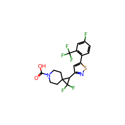 O=C(O)N1CCC2(CC1)C(c1cc(-c3ccc(F)cc3C(F)(F)F)sn1)C2(F)F